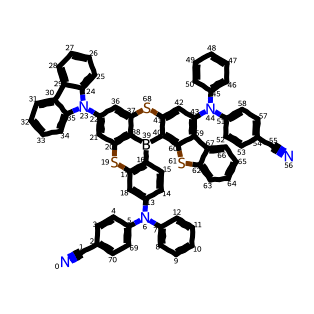 N#Cc1ccc(N(c2ccccc2)c2ccc3c(c2)Sc2cc(-n4c5ccccc5c5ccccc54)cc4c2B3c2c(cc(N(c3ccccc3)c3ccc(C#N)cc3)c3c2sc2ccccc23)S4)cc1